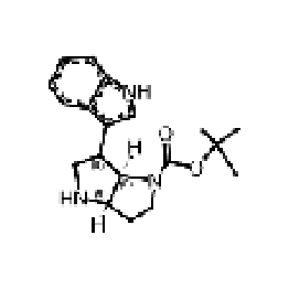 CC(C)(C)OC(=O)N1CC[C@H]2NC[C@@H](c3c[nH]c4ccccc34)[C@H]21